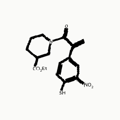 C=C(C(=O)N1CCCC(C(=O)OCC)C1)c1ccc(S)c([N+](=O)[O-])c1